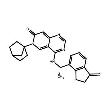 C[C@H](Nc1ncnc2cc(=O)n(C34CCC(CC3)C4)cc12)c1cccc2c1CCC2=O